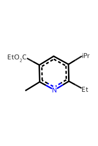 CCOC(=O)c1cc(C(C)C)c(CC)nc1C